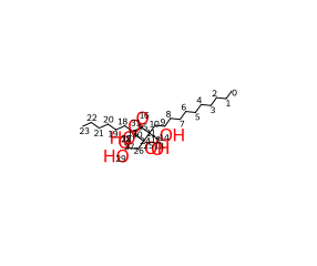 CCCCCCCCCCCC(C(=O)O)(C(=O)CCCCCCC)C(O)(CC(=O)O)C(=O)O